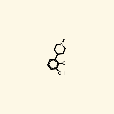 CN1CCC(c2cccc(O)c2Cl)CC1